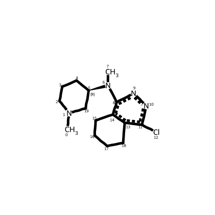 CN1CCC[C@@H](N(C)c2nnc(Cl)c3c2CCCC3)C1